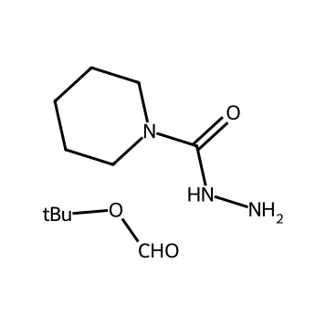 CC(C)(C)OC=O.NNC(=O)N1CCCCC1